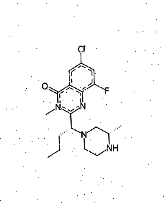 CCC[C@H](c1nc2c(F)cc(Cl)cc2c(=O)n1C)N1CCN[C@@H](C)C1